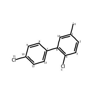 [CH2]c1ccc(Cl)c(-c2ccc(Cl)cc2)c1